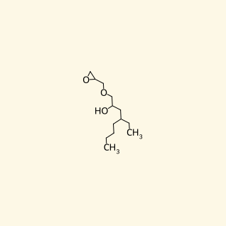 CCCCC(CC)CC(O)COCC1CO1